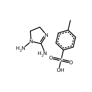 Cc1ccc(S(=O)(=O)O)cc1.NC1=NCCN1N